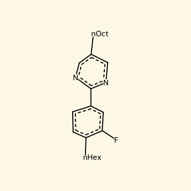 CCCCCCCCc1cnc(-c2ccc(CCCCCC)c(F)c2)nc1